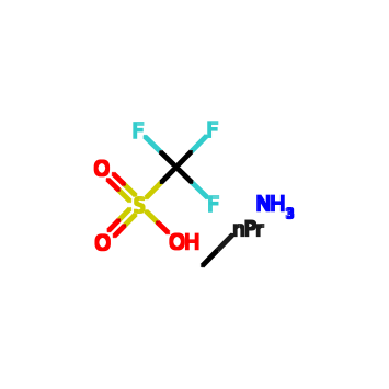 CCCC.N.O=S(=O)(O)C(F)(F)F